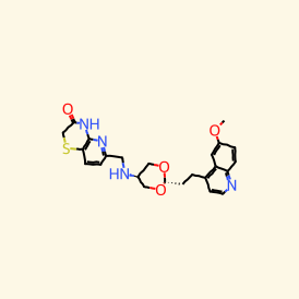 COc1ccc2nccc(CC[C@H]3OC[C@H](NCc4ccc5c(n4)NC(=O)CS5)CO3)c2c1